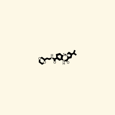 CC(C)c1cc2n(c1)Sc1ccc(C(=O)NCCC3COCCO3)cc1NC2=O